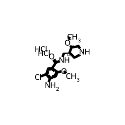 COc1cc(N)c(Cl)cc1C(=O)NC[C@@H]1CCNC[C@@H]1OC.Cl.Cl